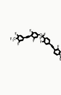 CCOc1ccc(C#Cc2ccc(C(F)(F)Oc3cc(F)c(C#Cc4cc(F)c(C(F)(F)F)c(F)c4)c(F)c3)c(F)c2)c(F)c1